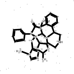 CCCCCN1C(=O)N(c2ccccc2)[N+](Sc2nncn2C)(C2COC(C)O2)C1N1CCNCC1c1ccccc1OC